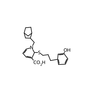 O=C(O)C1=CC=CN(CC2CC3CCC2C3)C1SCCCc1cccc(O)c1